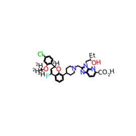 [2H]C([2H])([2H])Oc1cc(Cl)ccc1[C@@]1([2H])C=C(F)c2cccc(C3CCN(Cc4nc5ccc(C(=O)O)nc5n4C[C@@H](O)CC)CC3)c2O1